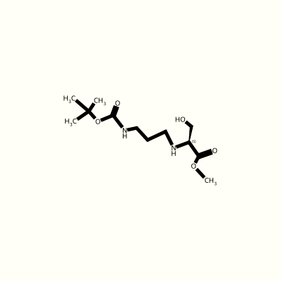 COC(=O)[C@H](CO)NCCCNC(=O)OC(C)(C)C